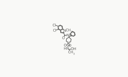 CC(O)NS(=O)(=O)N1CCC(NC(=O)c2cc3c(Cl)c(Cl)ccc3n2C)(c2ccccc2)CC1